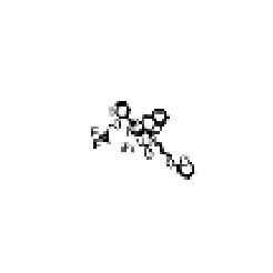 CC(C)n1c(=O)n(CCCOC2CCCCO2)c(=O)c2c1nc(-c1cccnc1OC[C@H]1CC1(F)F)n2Cc1ccccc1